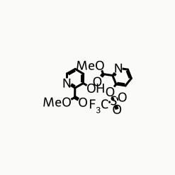 COC(=O)c1ncccc1O.COC(=O)c1ncccc1OS(=O)(=O)C(F)(F)F